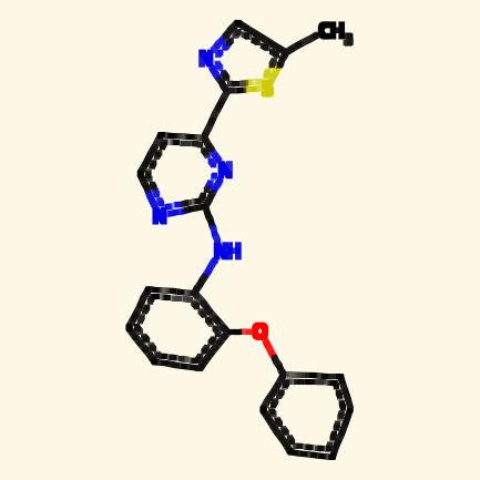 Cc1cnc(-c2ccnc(Nc3ccccc3Oc3ccccc3)n2)s1